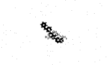 Cc1nn(-c2ccc3nnc(C)n3n2)c(C)c1C(C)C(=O)N1CCCC(Cc2ccccc2)C1